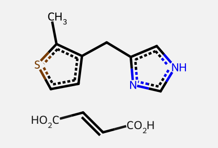 Cc1sccc1Cc1c[nH]cn1.O=C(O)C=CC(=O)O